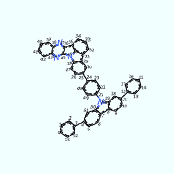 c1ccc(-c2ccc3c4ccc(-c5ccccc5)cc4n(-c4ccc(-c5ccc6c(c5)c5cccc7c8nc9ccccc9nc8n6c57)cc4)c3c2)cc1